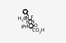 CC(C)n1cc(C(=O)O)c(=O)c2nc(F)c(N(C)Cc3ccccc3)nc21